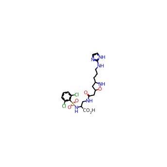 O=C(CC1CC(CCCNc2ncc[nH]2)NO1)NCC(NS(=O)(=O)c1c(Cl)cccc1Cl)C(=O)O